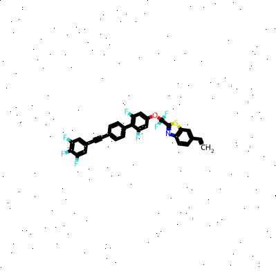 C=Cc1ccc2nc(C(F)(F)Oc3cc(F)c(-c4ccc(C#Cc5cc(F)c(F)c(F)c5)cc4)c(F)c3)sc2c1